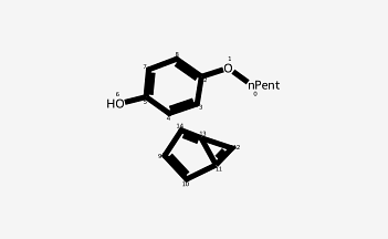 CCCCCOc1ccc(O)cc1.c1cc2cc-2c1